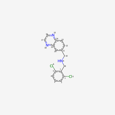 Clc1cccc(Cl)c1CNCc1ccc2nccnc2c1